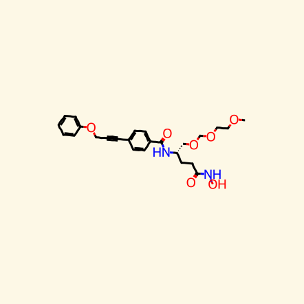 COCCOCOC[C@H](CCC(=O)NO)NC(=O)c1ccc(C#CCOc2ccccc2)cc1